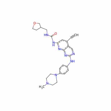 C#Cc1cc(NC(=O)NCC2CCOC2)nc2nc(Nc3ccc(N4CCN(C)CC4)cc3)ncc12